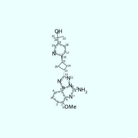 COc1cccc2c1nc(N)n1nc([C@H]3C[C@H](c4ccc(C(C)(C)O)cn4)C3)nc21